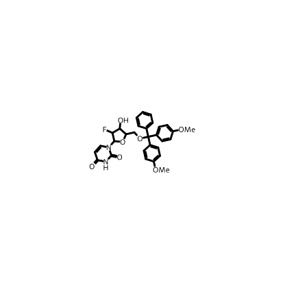 COc1ccc(C(OCC2OC(n3ccc(=O)[nH]c3=O)C(F)C2O)(c2ccccc2)c2ccc(OC)cc2)cc1